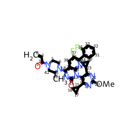 C=CC(=O)N1CCN(c2nc(=O)n(-c3c(C4CC4)nc(OC)nc3C3CC3)c3nc(-c4ccccc4F)c(F)cc23)[C@@H](C)C1